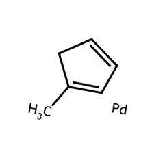 CC1=CC=CC1.[Pd]